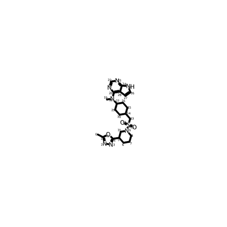 Cc1nnc(C2CCCN(S(=O)(=O)CC3CCC(N(C)c4ncnc5[nH]ccc45)CC3)C2)o1